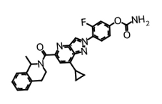 CC1c2ccccc2CCN1C(=O)c1cc(C2CC2)c2nn(-c3ccc(OC(N)=O)cc3F)cc2n1